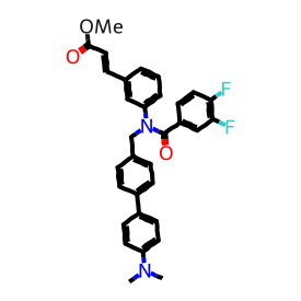 COC(=O)/C=C/c1cccc(N(Cc2ccc(-c3ccc(N(C)C)cc3)cc2)C(=O)c2ccc(F)c(F)c2)c1